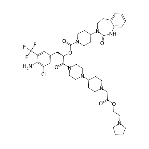 Nc1c(Cl)cc(C[C@@H](OC(=O)N2CCC(N3CCc4ccccc4NC3=O)CC2)C(=O)N2CCN(C3CCN(CC(=O)OCCN4CCCC4)CC3)CC2)cc1C(F)(F)F